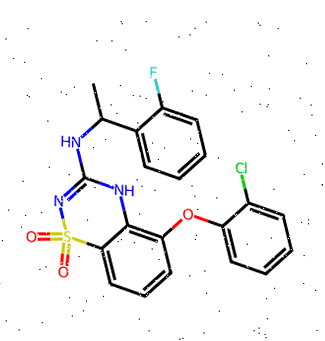 CC(NC1=NS(=O)(=O)c2cccc(Oc3ccccc3Cl)c2N1)c1ccccc1F